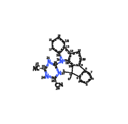 CC1(C)c2ccccc2-c2ccc3c4ccccc4n(-c4nc(C#N)nc(C#N)n4)c3c21